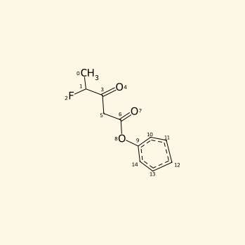 CC(F)C(=O)CC(=O)Oc1ccccc1